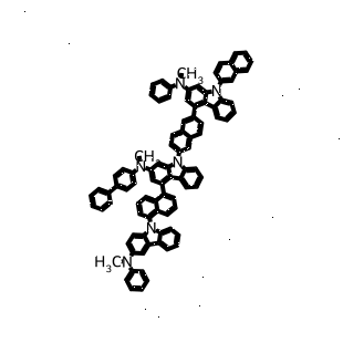 CN(c1ccccc1)c1ccc2c(c1)c1ccccc1n2-c1cccc2c(-c3cc(N(C)c4ccc(-c5ccccc5)cc4)cc4c3c3ccccc3n4-c3ccc4cc(-c5cc(N(C)c6ccccc6)cc6c5c5ccccc5n6-c5ccc6ccccc6c5)ccc4c3)cccc12